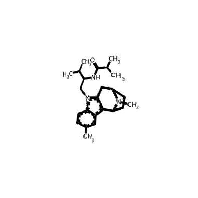 Cc1ccc2c(c1)c1c(n2CC(NC(=O)C(C)C)C(C)C)CC2CCC1N2C